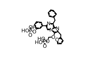 O=P(O)(O)OCOc1c(Cc2ccco2)nc2c(Cc3ccccc3)nc(-c3cccc(OP(=O)(O)O)c3)cn12